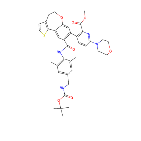 COC(=O)c1nc(N2CCOCC2)ccc1-c1cc2c(cc1C(=O)Nc1c(C)cc(CNC(=O)OC(C)(C)C)cc1C)-c1sccc1CCO2